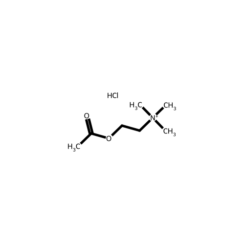 CC(=O)OCC[N+](C)(C)C.Cl